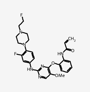 C=CC(=O)Nc1ccccc1Oc1nc(Nc2ccc(N3CCN(CCF)CC3)c(F)c2)ncc1OC